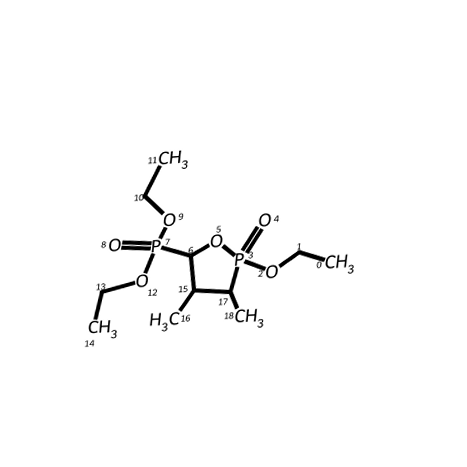 CCOP1(=O)OC(P(=O)(OCC)OCC)C(C)C1C